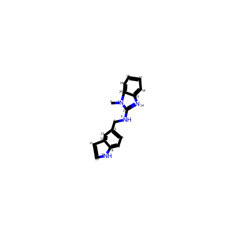 Cn1c(NCc2ccc3[nH]ccc3c2)nc2ccccc21